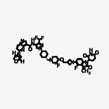 Cn1c(=O)n(C2CCC(=O)NC2=O)c2ccc(N3CC(CO[C@H]4CCN(C[C@H]5CC[C@H](n6cc(NC(=O)c7cnn8ccc(N9C[C@H]%10C[C@@H]9CO%10)nc78)c(C(F)F)n6)CC5)C[C@H]4F)C3)c(F)c21